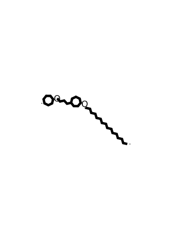 [CH2]CCCCCCCCCCCCCCCOC1CCCC(CCCOC2CC[CH]CCC2)CC1